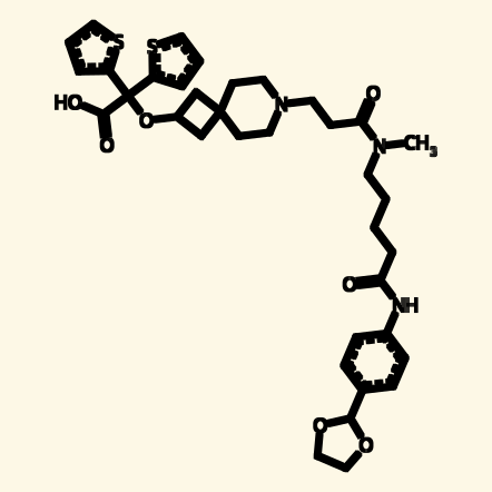 CN(CCCCC(=O)Nc1ccc(C2OCCO2)cc1)C(=O)CCN1CCC2(CC1)CC(OC(C(=O)O)(c1cccs1)c1cccs1)C2